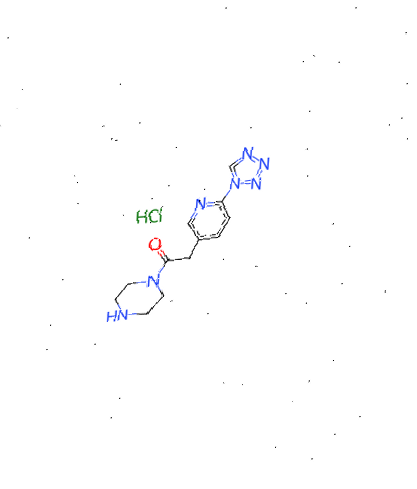 Cl.O=C(Cc1ccc(-n2cnnn2)nc1)N1CCNCC1